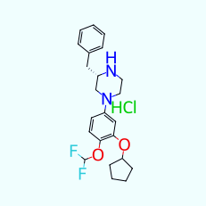 Cl.FC(F)Oc1ccc(N2CCN[C@@H](Cc3ccccc3)C2)cc1OC1CCCC1